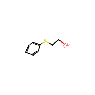 OCCSc1[c]cccc1